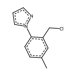 Cc1ccc(-n2cccn2)c(CCl)c1